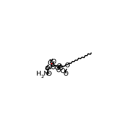 CC(=O)[O-].CCCCCCCCCCCCCCCOCCCOP(=O)(OC)OCC1OC([n+]2cccc(C(N)=O)c2)C2OC(C)(C)OC12